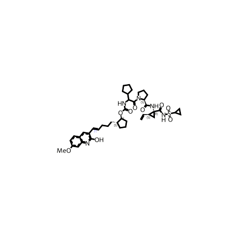 C=C[C@@H]1C[C@]1(NC(=O)[C@@H]1CCCN1C(=O)C(NC(=O)O[C@H]1CCC[C@@H]1CCC/C=C/c1cc2ccc(OC)cc2nc1O)C1CCCC1)C(=O)NS(=O)(=O)C1CC1